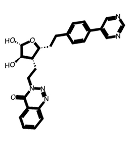 O=c1c2ccccc2nnn1CC[C@@H]1[C@@H](O)[C@H](O)O[C@@H]1CCc1ccc(-c2cncnc2)cc1